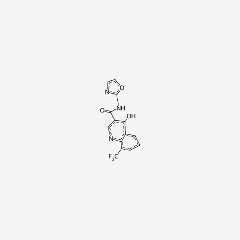 O=C(Nc1ncco1)c1cnc2c(C(F)(F)F)cccc2c1O